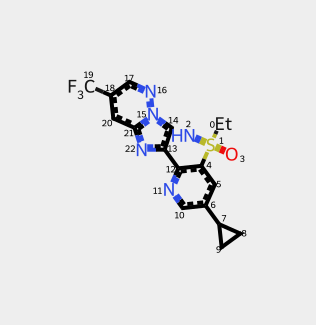 CCS(=N)(=O)c1cc(C2CC2)cnc1-c1cn2ncc(C(F)(F)F)cc2n1